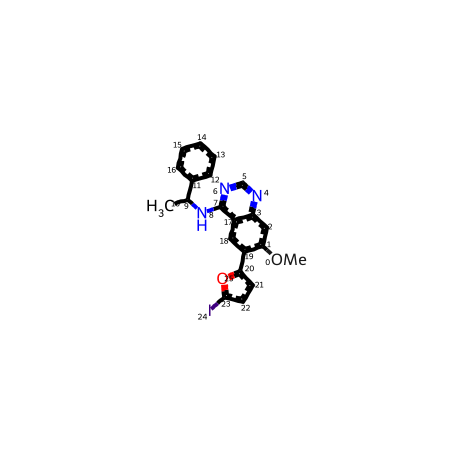 COc1cc2ncnc(NC(C)c3ccccc3)c2cc1-c1ccc(I)o1